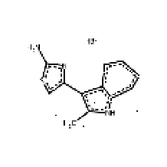 Br.Cc1[nH]c2ccccc2c1-c1csc(N)n1